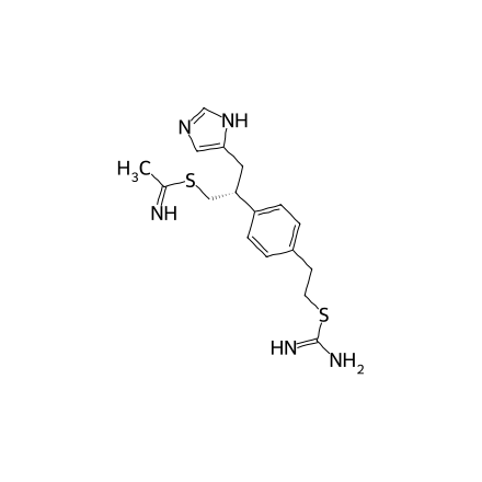 CC(=N)SC[C@H](Cc1cnc[nH]1)c1ccc(CCSC(=N)N)cc1